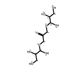 O=C(COC(O)C(O)CO)COC(O)C(O)CO